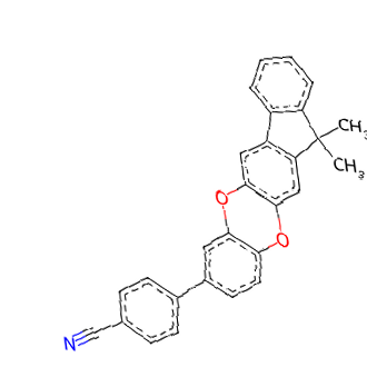 CC1(C)c2ccccc2-c2cc3c(cc21)Oc1ccc(-c2ccc(C#N)cc2)cc1O3